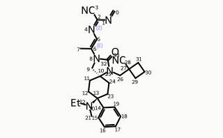 C=N/C(C#N)=N\C=C(/C)N1C[C@]2(CC[C@](c3ccccc3)(N(C)CC)CC2)N(CC2(C#N)CCC2)C1=O